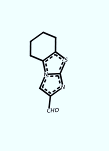 O=Cc1cn2c3c(sc2n1)CCCC3